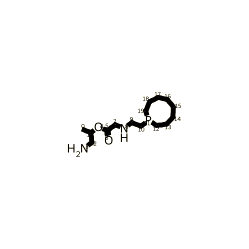 CC(CN)OC(=O)CNCCP1CCCCCCCC1